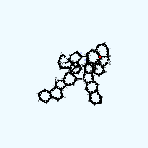 CC1C/C=C(c2cccc3ccccc23)/N=C(c2cccc3oc4ccccc4c23)\N=C/1c1cc2oc3c4ccccc4ccc3c2cc1-n1c2cc3ccccc3cc2c2cc3ccccc3cc21